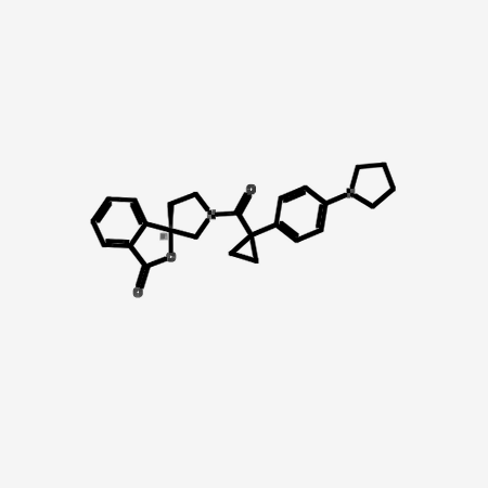 O=C1O[C@]2(CCN(C(=O)C3(c4ccc(N5CCCC5)cc4)CC3)C2)c2ccccc21